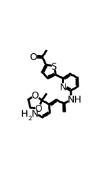 C=C(/C=C(\C=C/N)C1(C)OCCO1)Nc1cccc(-c2ccc(C(C)=O)s2)n1